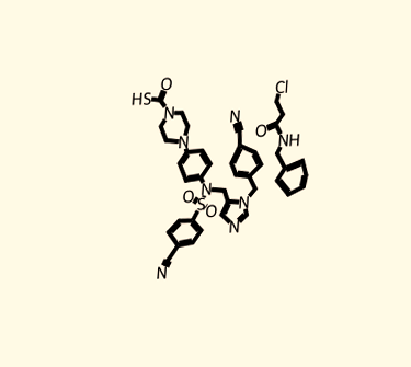 N#Cc1ccc(Cn2cncc2CN(c2ccc(N3CCN(C(=O)S)CC3)cc2)S(=O)(=O)c2ccc(C#N)cc2)cc1.O=C(CCCl)NCc1ccccc1